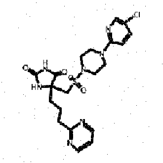 O=C1NC(=O)C(CCCc2ncccn2)(CS(=O)(=O)N2CCN(c3ccc(Cl)cn3)CC2)N1